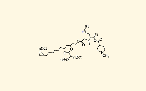 CC/C=C\CC(C(I)CC(=O)OCCC(CCCCCCCCC1CC1CCCCCCCC)OC(=O)C(CCCCCC)CCCCCCCC)C(CC)OC(=O)C1CCN(C)CC1